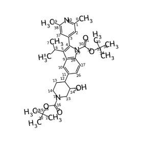 Cc1cc(-c2c(C(C)C)c3cc(C4CCN(C(=O)OC(C)(C)C)CC4O)ccc3n2C(=O)OC(C)(C)C)cc(C)n1